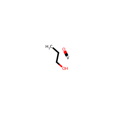 CCCO.[O]=[V]